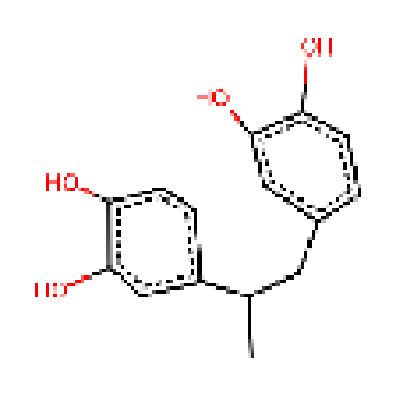 CC(Cc1ccc(O)c(O)c1)c1ccc(O)c(O)c1